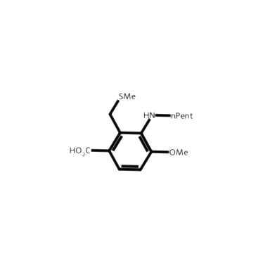 CCCCCNc1c(OC)ccc(C(=O)O)c1CSC